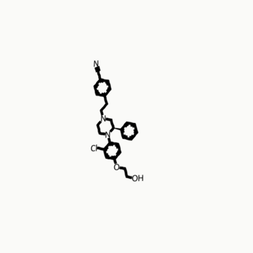 N#Cc1ccc(CCN2CCN(c3ccc(OCCO)cc3Cl)[C@H](c3ccccc3)C2)cc1